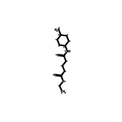 CCOC(=O)CCCC(=O)NC1CCC(N)CC1